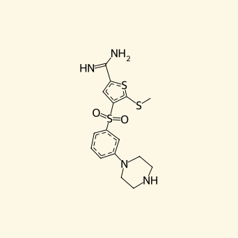 CSc1sc(C(=N)N)cc1S(=O)(=O)c1cccc(N2CCNCC2)c1